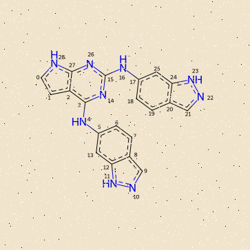 c1cc2c(Nc3ccc4cn[nH]c4c3)nc(Nc3ccc4cn[nH]c4c3)nc2[nH]1